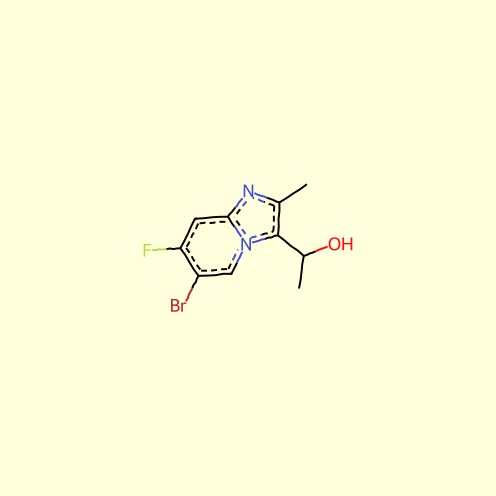 Cc1nc2cc(F)c(Br)cn2c1C(C)O